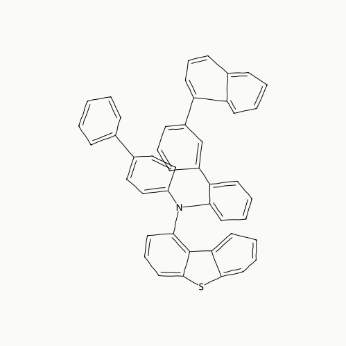 c1ccc(-c2ccc(N(c3ccccc3-c3cccc(-c4cccc5ccccc45)c3)c3cccc4sc5ccccc5c34)cc2)cc1